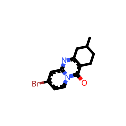 CC1CCc2c(nc3cc(Br)ccn3c2=O)C1